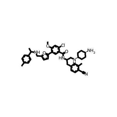 COc1cc(Cl)c(C(=O)NC(CN[C@H]2CC[C@@H](N)CC2)Cc2ccc(C#N)c(C)c2)cc1-c1ccc(CNC(C)c2ccc(C)cc2)o1